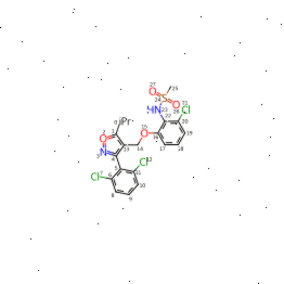 CC(C)c1onc(-c2c(Cl)cccc2Cl)c1COc1cccc(Cl)c1NS(C)(=O)=O